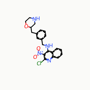 O=[N+]([O-])c1c(Cl)nc2ccccc2c1NCc1cccc(CC2CNCCO2)c1